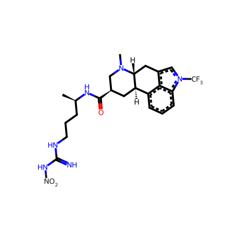 C[C@H](CCCNC(=N)N[N+](=O)[O-])NC(=O)[C@@H]1C[C@@H]2c3cccc4c3c(cn4C(F)(F)F)C[C@H]2N(C)C1